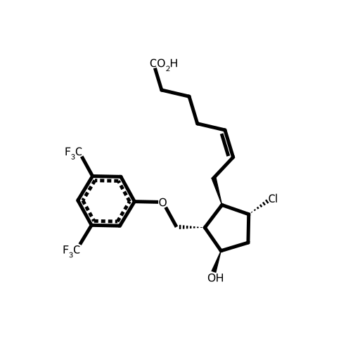 O=C(O)CCC/C=C\C[C@@H]1[C@@H](COc2cc(C(F)(F)F)cc(C(F)(F)F)c2)[C@H](O)C[C@H]1Cl